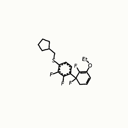 CCOC1=C(F)C(F)(c2ccc(SCC3CCCC3)c(F)c2F)CC=C1